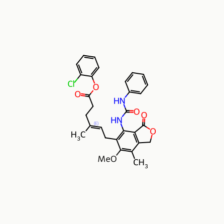 COc1c(C)c2c(c(NC(=O)Nc3ccccc3)c1C/C=C(\C)CCC(=O)Oc1ccccc1Cl)C(=O)OC2